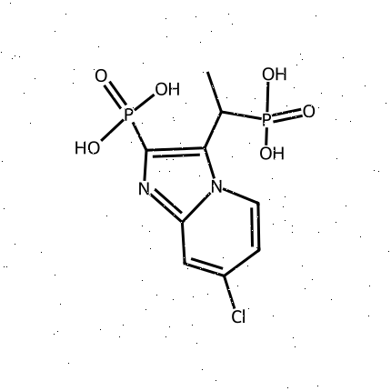 CC(c1c(P(=O)(O)O)nc2cc(Cl)ccn12)P(=O)(O)O